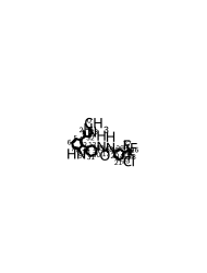 Cn1cc(-c2cccc3[nH]c4c(c23)CC(NC(=O)Nc2ccc(Cl)c(C(F)(F)F)c2)CC4)cn1